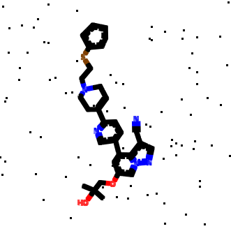 CC(C)(O)COc1cc(-c2ccc(C3=CCN(CCSc4ccccc4)CC3)nc2)c2c(C#N)cnn2c1